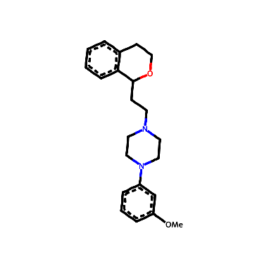 COc1cccc(N2CCN(CCC3OCCc4ccccc43)CC2)c1